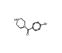 O=C(c1ccc(Br)cc1)N1CCNCC1